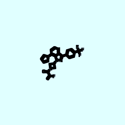 C=C(F)C(=O)N1CC(n2nc(-c3ccc(C(F)(F)F)cc3)c3nccc(-n4cccc4)c32)C1